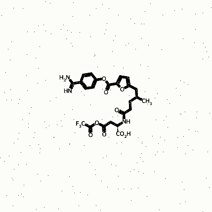 CC(CCC(=O)N[C@@H](CC(=O)OC(=O)C(F)(F)F)C(=O)O)Cc1ccc(C(=O)Oc2ccc(C(=N)N)cc2)o1